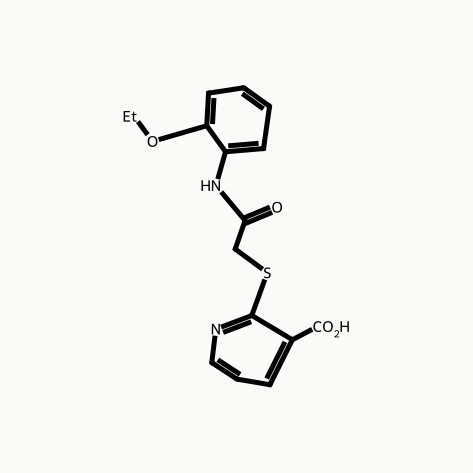 CCOc1ccccc1NC(=O)CSc1ncccc1C(=O)O